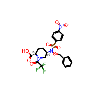 O=C(O)[C@@H]1CC[C@@H](N(OCc2ccccc2)S(=O)(=O)c2ccc([N+](=O)[O-])cc2)CN1C(=O)C(F)(F)F